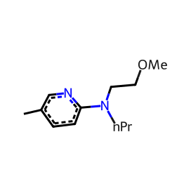 CCCN(CCOC)c1ccc(C)cn1